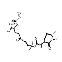 COC(=O)C(CCC(=O)CCC(C)(C)OC(=O)NC1CC[C@H](C)NC1=O)NC(=O)OC(C)(C)C